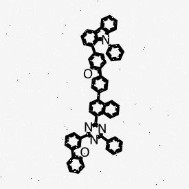 c1ccc(-c2nc(-c3ccc(-c4ccc5c(c4)oc4cc(-c6cccc7c8ccccc8n(-c8ccccc8)c67)ccc45)c4ccccc34)nc(-c3cccc4c3oc3ccccc34)n2)cc1